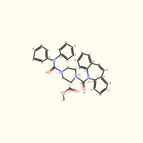 COC(=O)[C@@H]1CN(C(=O)N(c2ccccc2)c2ccccc2)CCN1C(=O)N1c2ccccc2C=Cc2ccccc21